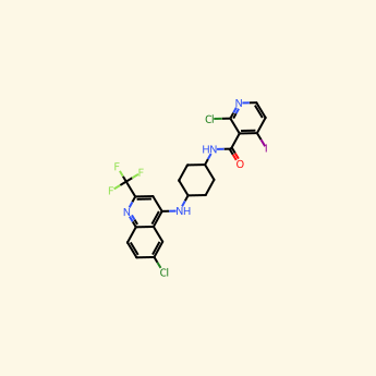 O=C(NC1CCC(Nc2cc(C(F)(F)F)nc3ccc(Cl)cc23)CC1)c1c(I)ccnc1Cl